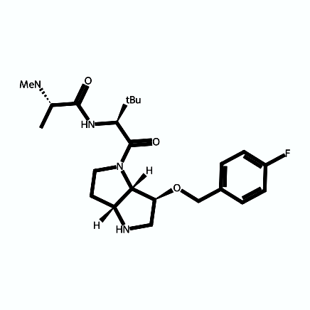 CN[C@@H](C)C(=O)N[C@H](C(=O)N1CC[C@H]2NC[C@H](OCc3ccc(F)cc3)[C@H]21)C(C)(C)C